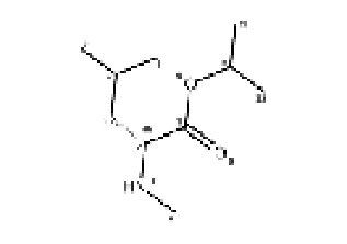 CN[C@H](CC(C)C)C(=O)OC(C)C